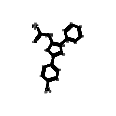 O=C(Nc1oc(-c2ccc(C(F)(F)F)cc2)nc1-c1ccccc1)C(F)(F)F